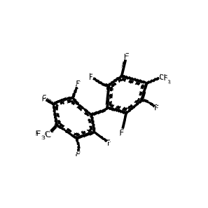 Fc1c(F)c(C(F)(F)F)c(F)c(F)c1-c1c(F)c(F)c(C(F)(F)F)c(F)c1F